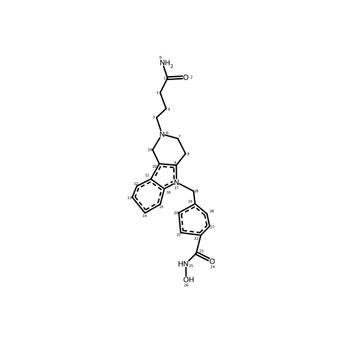 NC(=O)CCCN1CCc2c(c3ccccc3n2Cc2ccc(C(=O)NO)cc2)C1